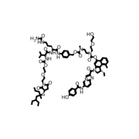 CCCC(C)(CC(CC)CC)SC1CC(=O)N(CCOCCOC(=O)N[C@H](C(=O)N[C@@H](CCCNC(N)=O)C(=O)Nc2ccc(COC(=O)N(C)CCN(CCOCCO)C(=O)Oc3cc4c(c5c(C)cccc35)[C@H](CC)CN4C(=O)c3cn4cc(NC(=O)c5ccc(O)cc5)ccc4n3)cc2)C(C)C)C1=O